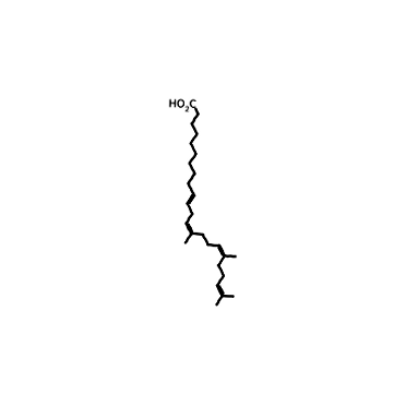 CC(C)=CCCC(C)=CCCC(C)=CCC=CCCCCCCCCC(=O)O